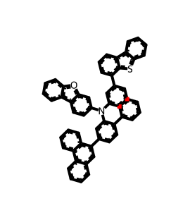 c1ccc(-c2ccc(-c3cc4ccccc4c4ccccc34)cc2N(c2cccc(-c3cccc4c3sc3ccccc34)c2)c2ccc3c(c2)oc2ccccc23)cc1